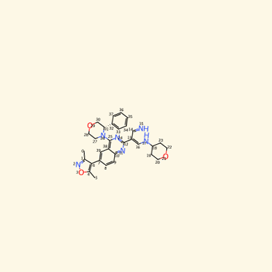 Cc1noc(C)c1-c1ccc2nc(/C(C=N)=C/NC3CCOCC3)nc(N3CCOC[C@@H]3c3ccccc3)c2c1